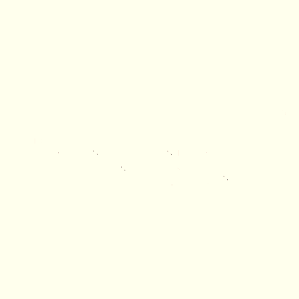 Cc1nc(-c2ccc3c(c2)CCO3)sc1C(=O)Nc1ccc(N2CCC(O)(c3ccccc3)CC2)nc1